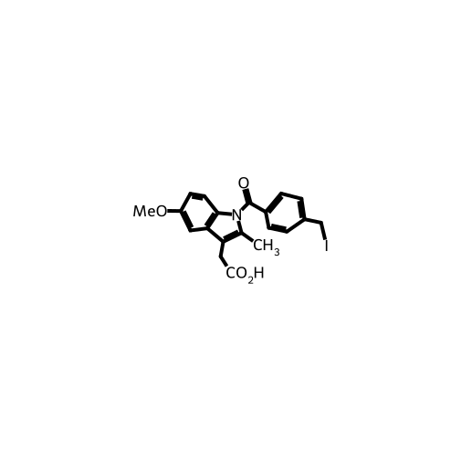 COc1ccc2c(c1)c(CC(=O)O)c(C)n2C(=O)c1ccc(CI)cc1